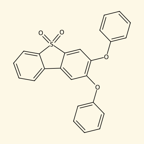 O=S1(=O)c2ccccc2-c2cc(Oc3ccccc3)c(Oc3ccccc3)cc21